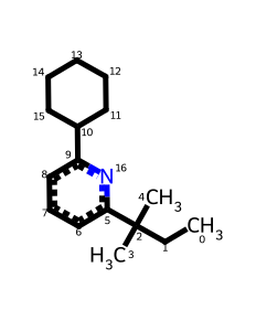 CCC(C)(C)c1cccc(C2CCCCC2)n1